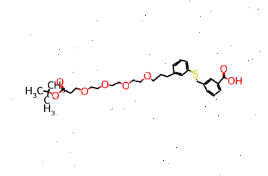 CC(C)(C)OC(=O)CCOCCOCCOCCOCCCc1cccc(SCc2cccc(C(=O)O)c2)c1